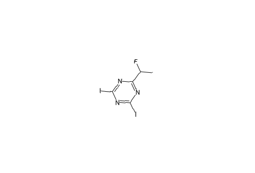 CC(F)c1nc(I)nc(I)n1